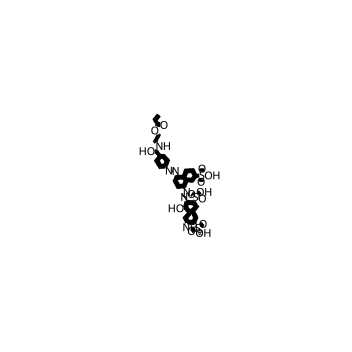 C=CC(=O)OCCNC(O)c1ccc(/N=N/c2ccc(/N=N/c3c(S(=O)(=O)O)cc4cc(S(=O)(=O)O)c(N)cc4c3O)c3cc(S(=O)(=O)O)ccc23)cc1